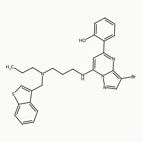 CCCN(CCCNc1cc(-c2ccccc2O)nc2c(Br)cnn12)Cc1csc2ccccc12